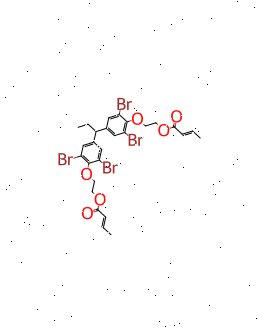 CC=CC(=O)OCCOc1c(Br)cc(C(CC)c2cc(Br)c(OCCOC(=O)C=CC)c(Br)c2)cc1Br